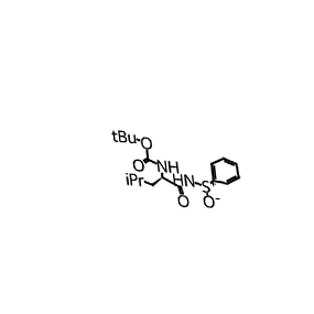 CC(C)C[C@@H](NC(=O)OC(C)(C)C)C(=O)N[S+]([O-])c1ccccc1